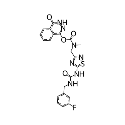 CN(Cc1nsc(NC(=O)NCc2cccc(F)c2)n1)C(=O)Oc1n[nH]c(=O)c2ccccc12